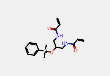 C=CC(=O)NCC(CNC(=O)C=C)O[Si](C)(C)c1ccccc1